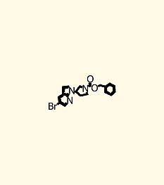 O=C(OCc1ccccc1)N1CCC(n2ccc3cc(Br)cnc32)C1